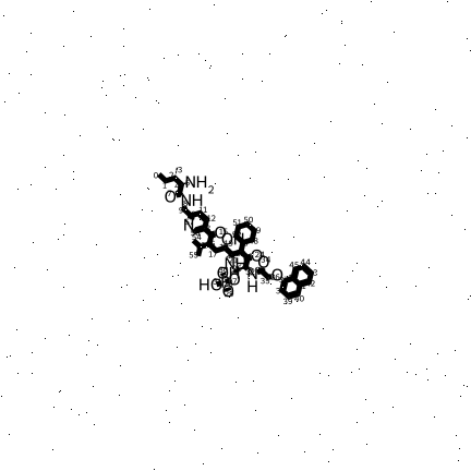 CC[C@H](C)[C@H](N)C(=O)NCc1ccc(C(=O)C(CC(O)C(N)C(C(=O)[C@H](COP(=O)(O)O)NC(=O)COc2cccc3ccccc23)C2CCCCC2)C(C)C)cn1